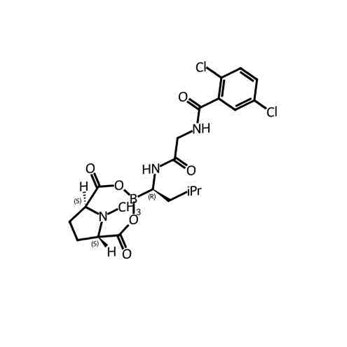 CC(C)C[C@H](NC(=O)CNC(=O)c1cc(Cl)ccc1Cl)B1OC(=O)[C@@H]2CC[C@@H](C(=O)O1)N2C